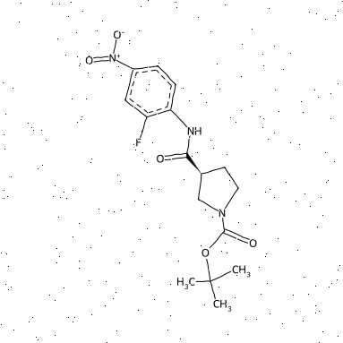 CC(C)(C)OC(=O)N1CC[C@H](C(=O)Nc2ccc([N+](=O)[O-])cc2F)C1